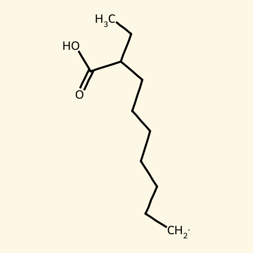 [CH2]CCCCCCC(CC)C(=O)O